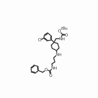 CC(C)(C)OC(=O)NCC1(c2cccc(Cl)c2)CCC(NCCCNC(=O)OCc2ccccc2)CC1